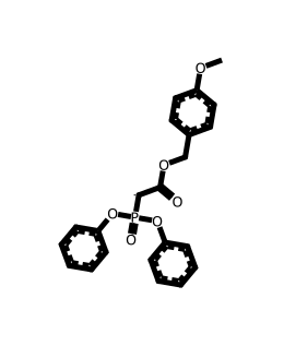 COc1ccc(COC(=O)[CH]P(=O)(Oc2ccccc2)Oc2ccccc2)cc1